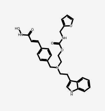 O=C(/C=C/c1ccc(CN(CCOC(=O)NCc2ccco2)CCc2c[nH]c3ccccc23)cc1)NO